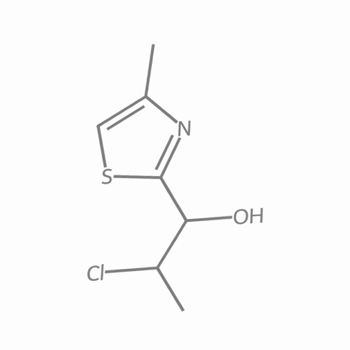 Cc1csc(C(O)C(C)Cl)n1